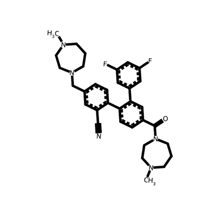 CN1CCCN(Cc2ccc(-c3ccc(C(=O)N4CCCN(C)CC4)cc3-c3cc(F)cc(F)c3)c(C#N)c2)CC1